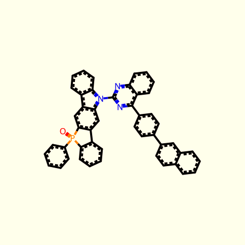 O=P1(c2ccccc2)c2ccccc2-c2cc3c(cc21)c1ccccc1n3-c1nc(-c2ccc(-c3ccc4ccccc4c3)cc2)c2ccccc2n1